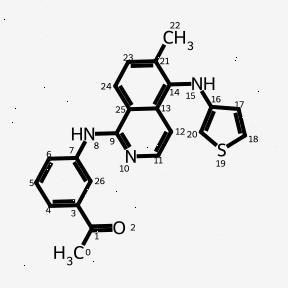 CC(=O)c1cccc(Nc2nccc3c(Nc4ccsc4)c(C)ccc23)c1